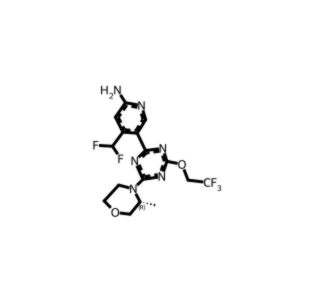 C[C@@H]1COCCN1c1nc(OCC(F)(F)F)nc(-c2cnc(N)cc2C(F)F)n1